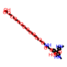 CCNC1=CC2Oc3cc(NCC)c(C)cc3C(c3ccc(OCCCC(=O)NCCOCCOCCOCCOCCOCCOCCOCCOCCOCCOCCOCCOCCC(=O)O)cc3C(=O)O)=C2C=C1C